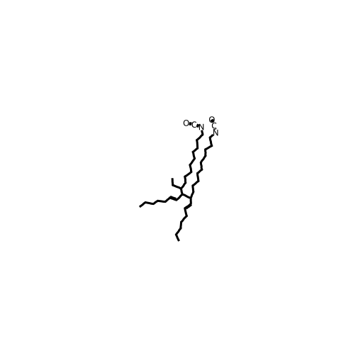 CCCCCC=CC(CCCCCCCCCCN=C=O)C(C=CCCCCC)C(CC)CCCCCCCCCN=C=O